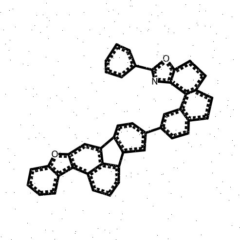 c1ccc(-c2nc3c(ccc4ccc5ccc(-c6ccc7c(c6)-c6cccc8c6c-7cc6oc7ccccc7c68)cc5c43)o2)cc1